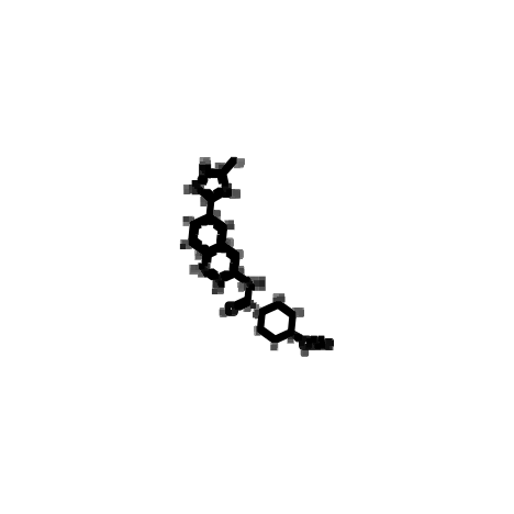 CO[C@H]1CC[C@H](C(=O)Nc2cc3cc(-c4nnc(C)s4)ccc3nn2)CC1